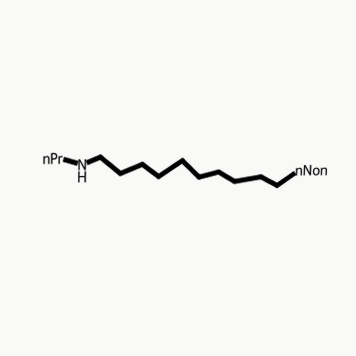 CCCCCCCCCCCCCCCCCCCNCCC